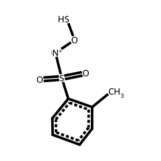 Cc1ccccc1S(=O)(=O)[N+]OS